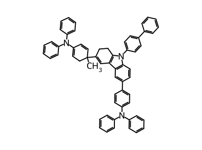 CC1(C2=Cc3c(n(-c4ccc(-c5ccccc5)cc4)c4ccc(-c5ccc(N(c6ccccc6)c6ccccc6)cc5)cc34)CC2)C=CC(N(c2ccccc2)c2ccccc2)=CC1